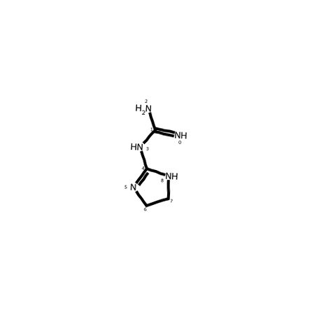 N=C(N)NC1=NCCN1